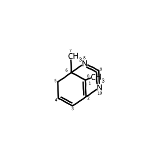 CC1=C2C=CCC1(C)N=C=N2